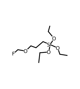 CCO[Si](CCCOCF)(OCC)OCC